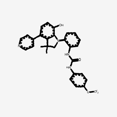 CC1(C)CN(c2ccccc2NC(=O)Nc2ccc(OC(F)(F)F)cc2)c2c(O)ccc(-c3ccncc3)c21